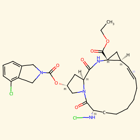 CCOC(=O)[C@@]12C[C@H]1/C=C\CCCCC[C@H](NCl)C(=O)N1C[C@H](OC(=O)N3Cc4cccc(Cl)c4C3)C[C@H]1C(=O)N2